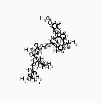 CCOc1cc(F)c(Cn2nc(-c3ncc(OCCCOC(=O)[C@H](C)NC(=O)[C@@H](CCCCNC(=O)OC(C)(C)C)NC(=O)OC(C)(C)C)c(Nc4ccnc(NC(C)=O)c4)n3)c3ccccc32)c(F)c1